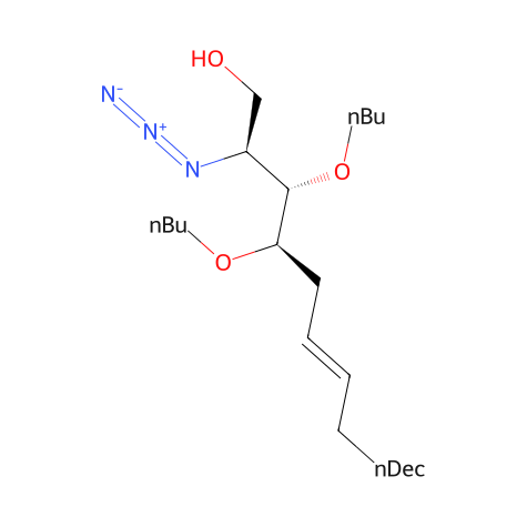 CCCCCCCCCCCC=CC[C@@H](OCCCC)[C@@H](OCCCC)[C@H](CO)N=[N+]=[N-]